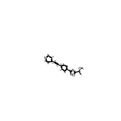 COC(C)c1nc(-c2ccc(C#Cc3ccncc3)cc2)no1